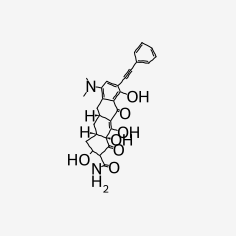 CN(C)c1cc(C#Cc2ccccc2)c(O)c2c1C[C@H]1C[C@H]3CC(O)C(C(N)=O)C(=O)[C@@]3(O)C(O)=C1C2=O